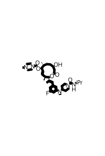 C/C(=C\c1cc(F)cc(N(C)C2CCN(C(=O)NC(C)C)CC2)c1)[C@H]1OC(=O)C[C@@H](O)CC[C@@H](C)[C@@H](OC(=O)N2CCN(C)CC2)/C=C/[C@@H]1C